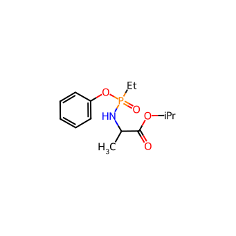 CCP(=O)(NC(C)C(=O)OC(C)C)Oc1ccccc1